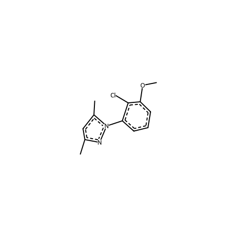 COc1cccc(-n2nc(C)cc2C)c1Cl